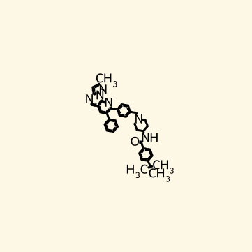 Cc1cc2ncc3cc(-c4ccccc4)c(-c4ccc(CN5CCC(NC(=O)c6ccc(C(C)(C)C)cc6)CC5)cc4)nc3n2n1